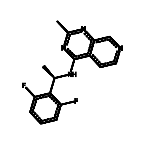 Cc1nc(N[C@H](C)c2c(F)cccc2F)c2ccncc2n1